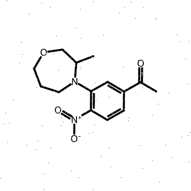 CC(=O)c1ccc([N+](=O)[O-])c(N2CCCOCC2C)c1